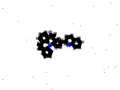 CC1(C)c2ccccc2N2c3ccc(C4=NC5C=CC=CC5C=C4)cc3C(C)(C)c3cccc1c32